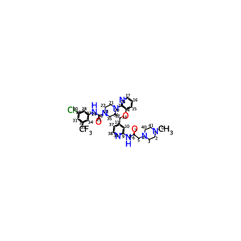 CN1CCN(CC(=O)Nc2cc(COc3cccnc3N3CCN(C(=O)Nc4cc(Cl)cc(C(F)(F)F)c4)CC3)ccn2)CC1